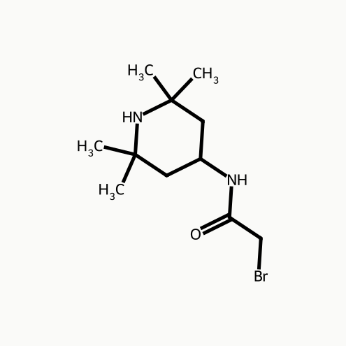 CC1(C)CC(NC(=O)CBr)CC(C)(C)N1